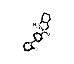 NC1CCCCC1CS(=O)(=O)c1ccc(-n2ccccc2=O)cc1